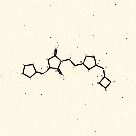 O=C1CC(SC2CCCC2)C(=O)N1CCC1CCC(CC2CCC2)C1